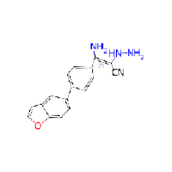 N#C/C(NN)=C(/N)c1ccc(-c2ccc3occc3c2)cc1